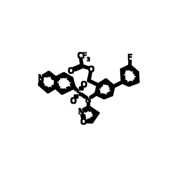 O=C(OCc1cc(-c2cccc(F)c2)ccc1N(c1ccon1)S(=O)(=O)c1ccc2cnccc2c1)C(F)(F)F